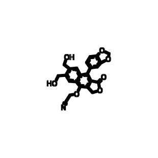 N#CCOc1c2c(c(-c3ccc4c(c3)OCO4)c3cc(CO)c(CO)cc13)C(=O)OC2